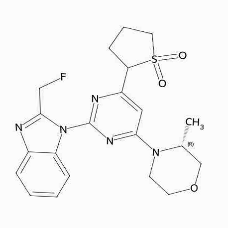 C[C@@H]1COCCN1c1cc(C2CCCS2(=O)=O)nc(-n2c(CF)nc3ccccc32)n1